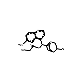 CCC1CN2CCC1CC2C(OC(=O)CC(C)(C)C)c1ccnc2ccc(OC)cc12